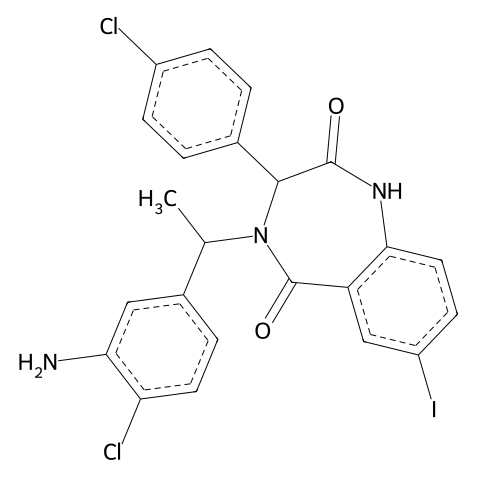 CC(c1ccc(Cl)c(N)c1)N1C(=O)c2cc(I)ccc2NC(=O)C1c1ccc(Cl)cc1